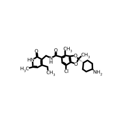 CCc1cc(C)[nH]c(=O)c1CNC(=O)c1cc(Cl)c2c(c1C)OC(C)([C@H]1CC[C@H](N)CC1)O2